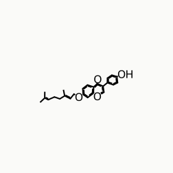 CC(C)=CCC/C(C)=C/COc1ccc2c(=O)c(-c3ccc(O)cc3)coc2c1